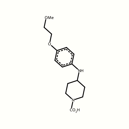 COCCOc1ccc(NC2CCN(C(=O)O)CC2)cc1